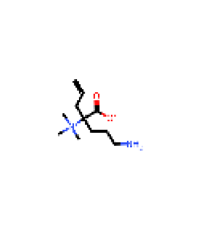 C=CCC(CCCN)(C(=O)[O-])[N+](C)(C)C